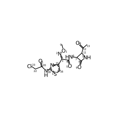 CON=C(C(=O)NC1C(=O)NC1C(C)=O)c1csc(NC(=O)CCl)n1